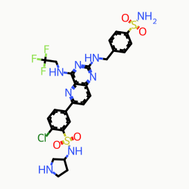 NS(=O)(=O)c1ccc(CNc2nc(NCC(F)(F)F)c3nc(-c4ccc(Cl)c(S(=O)(=O)NC5CCNC5)c4)ccc3n2)cc1